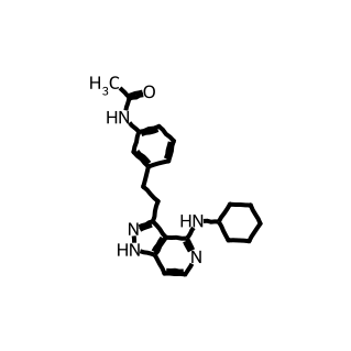 CC(=O)Nc1cccc(CCc2n[nH]c3ccnc(NC4CCCCC4)c23)c1